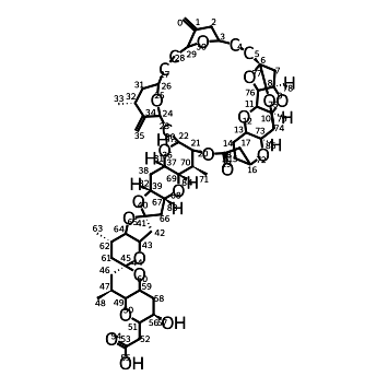 C=C1CC2CC[C@@]34C[C@H]5O[C@@H]6C(OC7CCC(CC(=O)OC8[C@H](CC9OC(CCC1O2)C[C@@H](C)C9=C)O[C@H]1C[C@H]2O[C@@]9(CC%10O[C@]%11(C[C@H](C)C%12OC(CC(=O)O)[C@H](O)CC%12O%11)C[C@H](C)C%10O9)C[C@H]2O[C@H]1[C@@H]8C)O[C@@H]7C6O3)C5O4